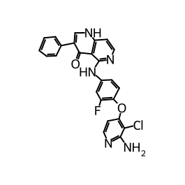 Nc1nccc(Oc2ccc(Nc3nccc4[nH]cc(-c5ccccc5)c(=O)c34)cc2F)c1Cl